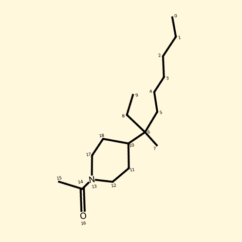 CCCCCCC(C)(CC)C1CCN(C(C)=O)CC1